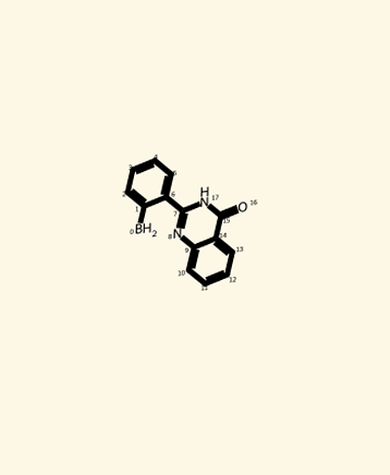 Bc1ccccc1-c1nc2ccccc2c(=O)[nH]1